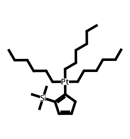 CCCCC[CH2][Pt]([CH2]CCCCC)([CH2]CCCCC)[C]1=C([Si](C)(C)C)C=CC1